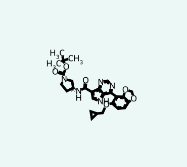 CC(C)(C)OC(=O)N1CC[C@@H](NC(=O)c2c[nH]c3c(-c4c(OCC5CC5)ccc5c4OCO5)ncnc23)C1